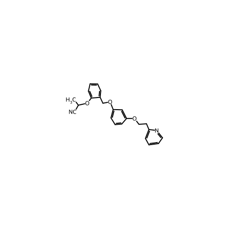 CC(C#N)Oc1ccccc1COc1cccc(OCCc2ccccn2)c1